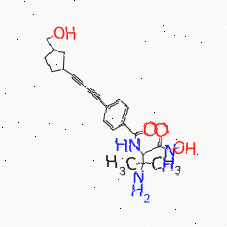 CC(C)(N)C(NC(=O)c1ccc(C#CC#CC2CCC(CO)C2)cc1)C(=O)NO